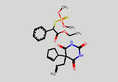 C=CCC1(C2C=CCC2)C(=O)NC(=O)NC1=O.CCOC(=O)C(SP(=S)(OC)OC)c1ccccc1